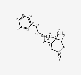 CC1(C)CCC(=O)CC1CCCCc1ccccc1